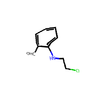 O=[C]c1ccccc1NCCCl